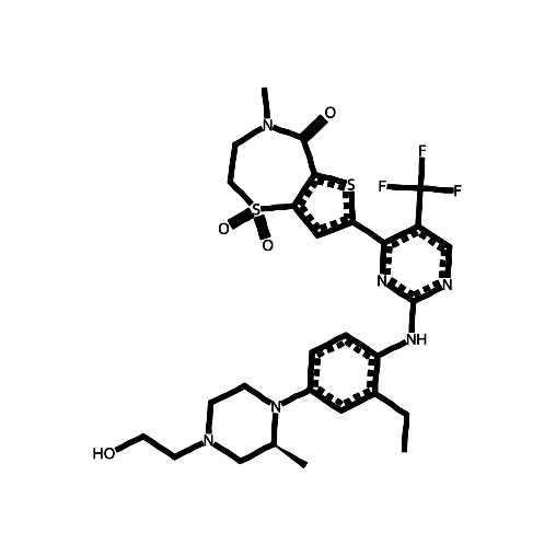 CCc1cc(N2CCN(CCO)C[C@@H]2C)ccc1Nc1ncc(C(F)(F)F)c(-c2cc3c(s2)C(=O)N(C)CCS3(=O)=O)n1